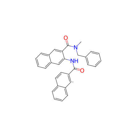 CN(Cc1ccccc1)C(=O)c1cc2ccccc2cc1NC(=O)c1[c]c2ccccc2cc1